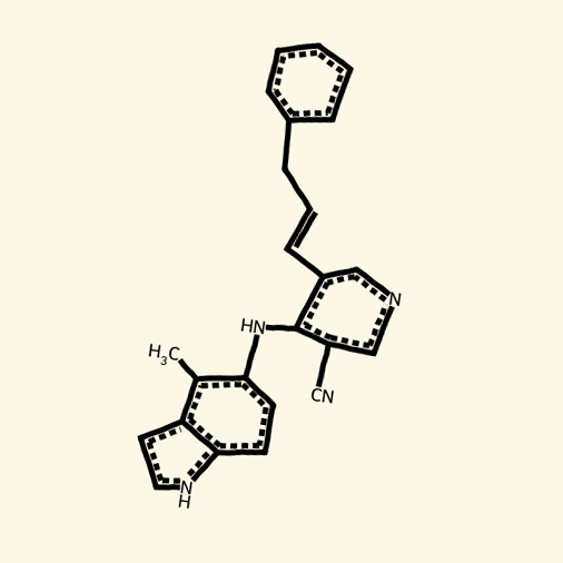 Cc1c(Nc2c(C#N)cncc2/C=C/Cc2ccccc2)ccc2[nH]ccc12